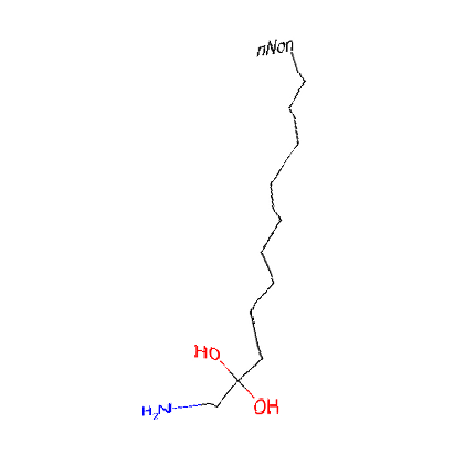 CCCCCCCCCCCCCCCCCCC(O)(O)CN